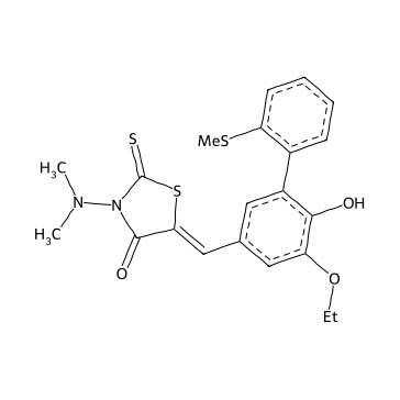 CCOc1cc(/C=C2\SC(=S)N(N(C)C)C2=O)cc(-c2ccccc2SC)c1O